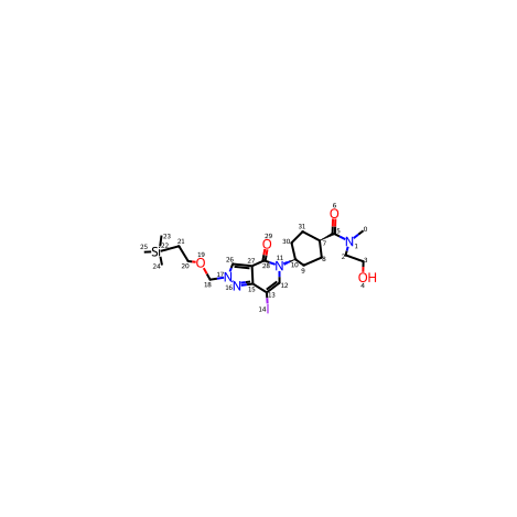 CN(CCO)C(=O)[C@H]1CC[C@@H](n2cc(I)c3nn(COCC[Si](C)(C)C)cc3c2=O)CC1